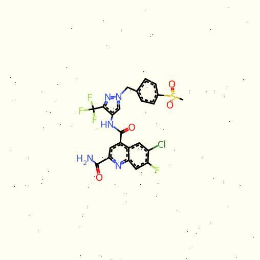 CS(=O)(=O)c1ccc(Cn2cc(NC(=O)c3cc(C(N)=O)nc4cc(F)c(Cl)cc34)c(C(F)(F)F)n2)cc1